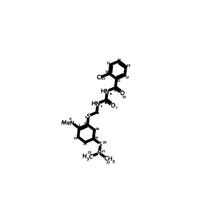 CNC1=C(SCNC(=O)NC(=O)c2ccccc2Cl)CC(SN(C)C)CC1